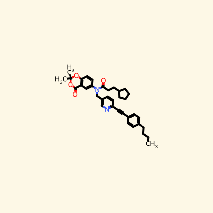 CCCCc1ccc(C#Cc2ccc(CN(C(=O)CCC3CCCC3)c3ccc4c(c3)C(=O)OC(C)(C)O4)cn2)cc1